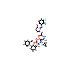 O=C(C[C@@H]1CCC(=O)N1Cc1cccc(F)c1F)N[C@@H](CC1CC1)C(=O)N[C@@H](Cc1ccccc1)C(=O)OCc1ccccc1